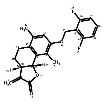 C=C1C(=O)O[C@H]2c3c(C)c(OCc4c(F)cccc4F)cc(C)c3CC[C@@H]12